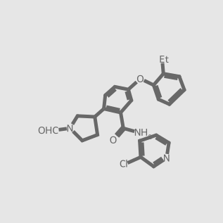 CCc1ccccc1Oc1ccc(C2CCN(C=O)C2)c(C(N)=O)c1.Clc1cccnc1